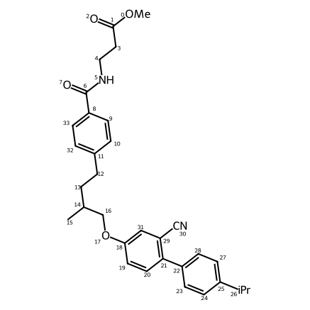 COC(=O)CCNC(=O)c1ccc(CCC(C)COc2ccc(-c3ccc(C(C)C)cc3)c(C#N)c2)cc1